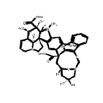 CCC12C=CCN3CC[C@@]4(c5cc([C@@]6(C(=O)OC)C[C@@H]7CN(CCc8c6[nH]c6ccccc86)C[C@](O)(CC)C7)c(OC)cc5N(C)[C@H]4[C@@](O)(C(=O)OC)[C@@H]1OC(C)=O)[C@@H]32